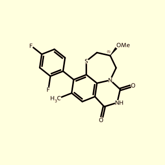 CO[C@@H]1CSc2c(-c3ccc(F)cc3F)c(C)cc3c(=O)[nH]c(=O)n(c23)C1